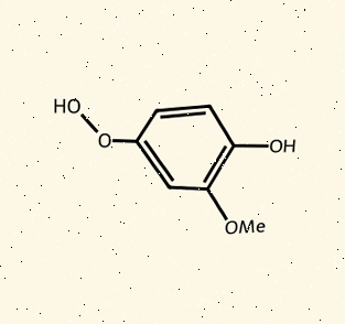 COc1cc(OO)ccc1O